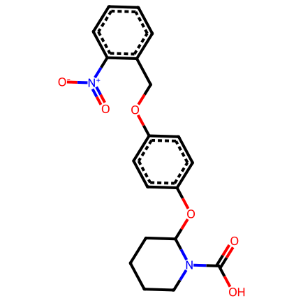 O=C(O)N1CCCCC1Oc1ccc(OCc2ccccc2[N+](=O)[O-])cc1